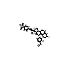 C[C@]12C[C@H](c3ccc(C=O)cc3)C3=C4CCC(=O)C=C4CCC3C1CC[C@@]2(O)C#Cc1ccc(S(C)(=O)=O)cc1